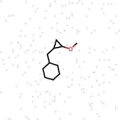 COC1CC1CC1CCCCC1